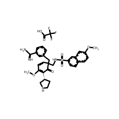 COC1=C([C@@H]2CCNC2)C(=O)C(CNS(=O)(=O)c2ccc3ccc(OC)cc3c2)(Cc2cccc(C(=N)N)c2)C=C1.O=C(O)C(F)(F)F